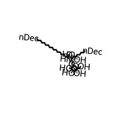 CCCCCCCCCCCCCCCCCCCCCCCCCC(=O)N[C@@H](CO[C@H]1OC(CO)[C@H](O)[C@@H](O)C1O)[C@H](O)[C@@H](O)CCCCCCCCCCCCCC